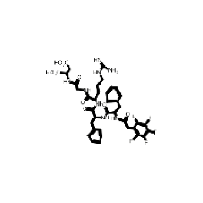 N=C(N)NCCCC(NC(=O)C(Cc1ccccc1)NC(=O)C(Cc1ccccc1)NC(=O)Cc1c(F)c(F)c(F)c(F)c1F)C(=O)NCC(=O)NC(CC(=O)O)C(=O)O